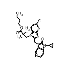 CCCCOC(=O)C(C)(C)Cn1c(Cn2c(=O)n(C3CC3)c3ccncc32)nc2nc(Cl)ccc21